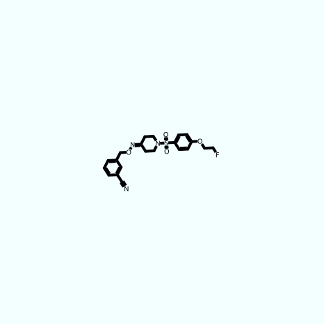 N#Cc1cccc(CON=C2CCN(S(=O)(=O)c3ccc(OCCF)cc3)CC2)c1